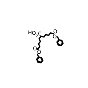 O=C(CCCCC(CCCCC(=O)OCc1ccccc1)C(=O)O)OCc1ccccc1